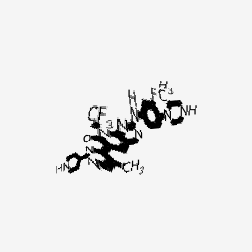 Cc1cnc(C2CCNCC2)nc1-c1cc2cnc(Nc3ccc(N4CCNCC4C)c(F)c3)nc2n(CC(F)(F)F)c1=O